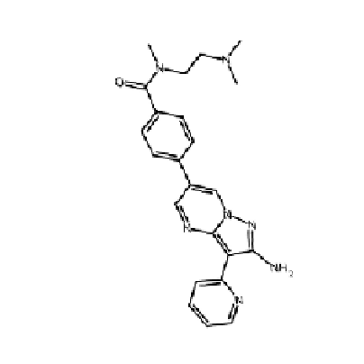 CN(C)CCN(C)C(=O)c1ccc(-c2cnc3c(-c4ccccn4)c(N)nn3c2)cc1